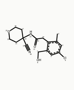 Cc1cc(Cl)cc(CO)c1CC(=O)NC1(C#N)CCOCC1